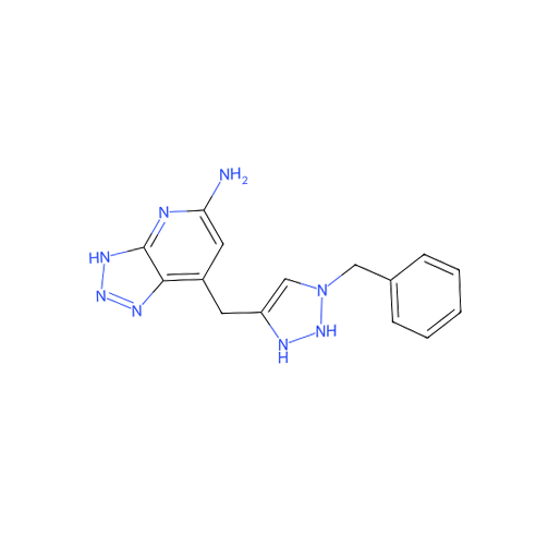 Nc1cc(CC2=CN(Cc3ccccc3)NN2)c2nn[nH]c2n1